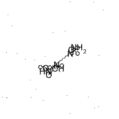 NC(=O)C(c1ccccc1)(c1ccccc1)C1CCN(CCCCCCCCCN(Cc2ccccc2)C[C@@H](O)c2ccc(OCc3ccccc3)c3[nH]c(=O)ccc23)C1